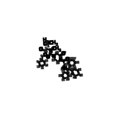 CC(C)[C@@H](C(=O)OCc1ccccc1)N(C)C(=O)N1CCN(C(=O)[C@@H]2CN2C(c2ccccc2)(c2ccccc2)c2ccccc2)C(=O)C1